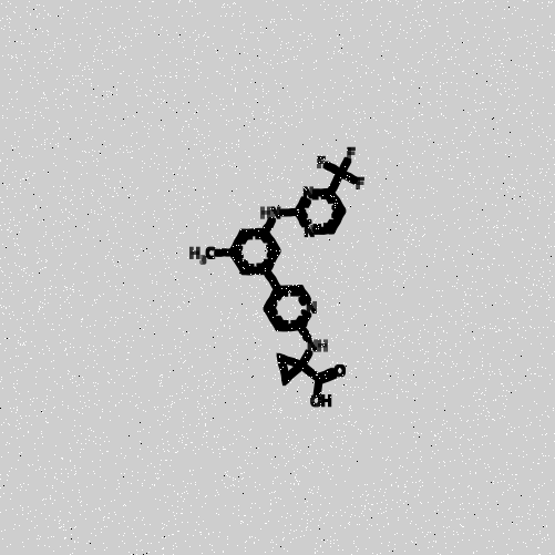 Cc1cc(Nc2nccc(C(F)(F)F)n2)cc(-c2ccc(NC3(C(=O)O)CC3)nc2)c1